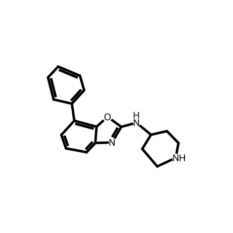 c1ccc(-c2cccc3nc(NC4CCNCC4)oc23)cc1